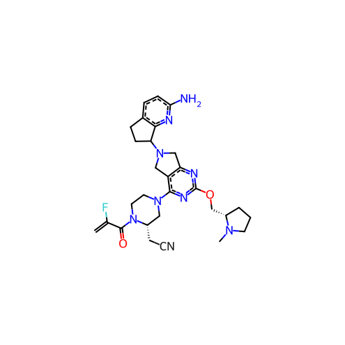 C=C(F)C(=O)N1CCN(c2nc(OC[C@@H]3CCCN3C)nc3c2CN(C2CCc4ccc(N)nc42)C3)C[C@@H]1CC#N